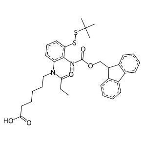 CCC(=O)N(CCCCCC(=O)O)c1cccc(SSC(C)(C)C)c1NC(=O)OCC1c2ccccc2-c2ccccc21